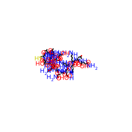 CC(C)C[C@H](NC(=O)[C@H](CCCCN)NC(=O)[C@H](Cc1c[nH]cn1)NC(=O)[C@H](CC(C)C)NC(=O)[C@H](CCC(=O)O)NC(=O)[C@H](CCC(N)=O)NC(=O)[C@H](CO)NC(=O)[C@H](CC(C)C)NC(=O)[C@H](CCCCN)NC(=O)CNC(=O)[C@H](CC(C)C)NC(=O)[C@@H](NC(=O)[C@H](CS)NC(=O)[C@@H](NC(=O)[C@H](CO)NC(=O)[C@H](CC(C)C)NC(=O)[C@H](CC(N)=O)NC(=O)[C@@H](N)CO)[C@@H](C)O)C(C)C)C(=O)N[C@@H](CCC(N)=O)C(=O)O